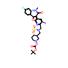 CNC(=O)c1c(-c2ccc(F)cc2)oc2nc(CN(CC3CCCN(OC(=O)OC(C)(C)C)C3)[SH](=O)=O)c(I)cc12